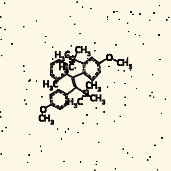 COc1ccc(/C(=C(\c2ccccc2C)c2ccc(OC)cc2[Si](C)(C)C)[Si](C)(C)C)cc1